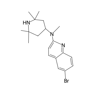 CN(c1ccc2cc(Br)ccc2n1)C1CC(C)(C)NC(C)(C)C1